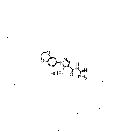 CCc1c(C(=O)NC(=N)N)cnn1-c1ccc2c(c1)OCCO2.Cl